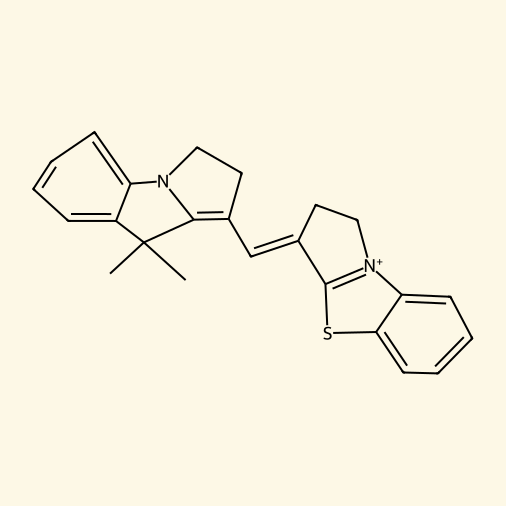 CC1(C)C2=C(C=C3CC[n+]4c3sc3ccccc34)CCN2c2ccccc21